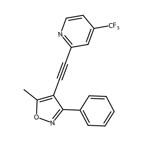 Cc1onc(-c2ccccc2)c1C#Cc1cc(C(F)(F)F)ccn1